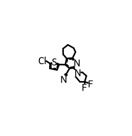 N#Cc1c(N2CCC(F)(F)CC2)nc2c(c1-c1ccc(Cl)s1)CCCCC2